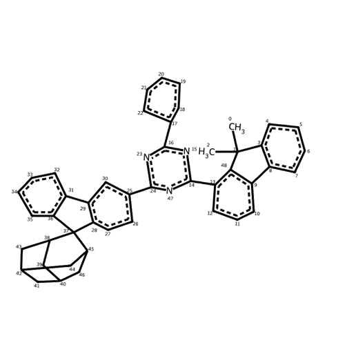 CC1(C)c2ccccc2-c2cccc(-c3nc(-c4ccccc4)nc(-c4ccc5c(c4)-c4ccccc4C54C5CC6CC(C5)CC4C6)n3)c21